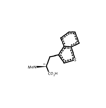 CN[C@@H](Cc1csc2ccccc12)C(=O)O